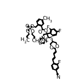 C=CCOP(=O)(OCC=C)OCc1ccc(C)cc1C(=O)OC(Cn1cncn1)(c1ccc(F)cc1F)C(C)SC1COC(C=CC=Cc2ccc(C#N)cc2F)OC1